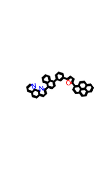 c1cc(-c2ccc(-c3ccc4ccc5cccc6ccc3c4c56)o2)cc(-c2ccc(-c3ccc4ccc5cccnc5c4n3)c3ccccc23)c1